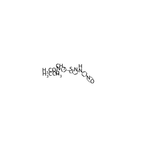 CN(C(=O)OC(C)(C)C)c1ccc(-c2cc3ccc(Nc4ccc(N5CCOCC5)cc4)nc3s2)cc1